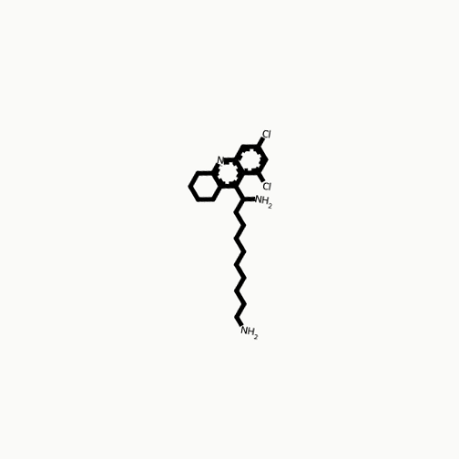 NCCCCCCCCCC(N)c1c2c(nc3cc(Cl)cc(Cl)c13)CCCC2